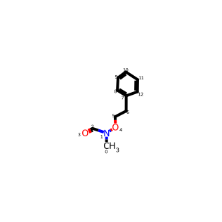 CN(C=O)OCCc1ccccc1